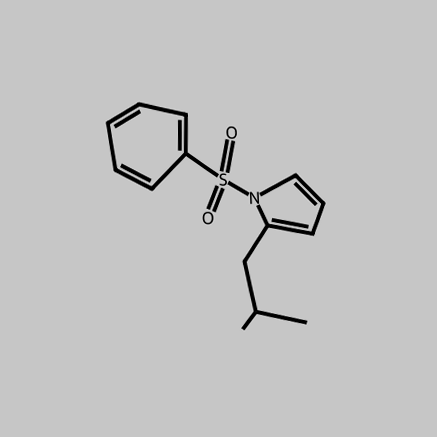 CC(C)Cc1cccn1S(=O)(=O)c1ccccc1